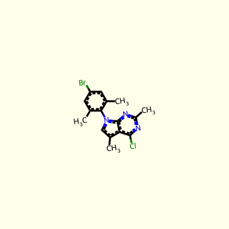 Cc1nc(Cl)c2c(C)cn(-c3c(C)cc(Br)cc3C)c2n1